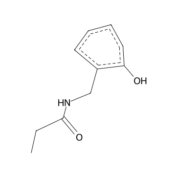 CCC(=O)NCc1ccccc1O